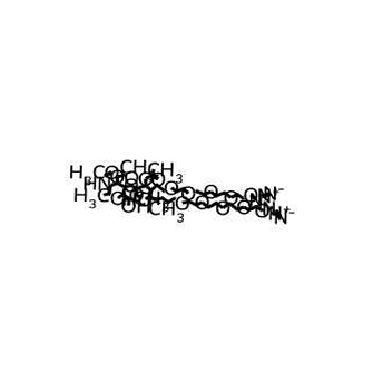 COC(OC1C(CO)OC(C)C(NC(C)=O)C1OC(C)=O)C(OC(C)=O)C(CCOCCOCCOCCOCCON=[N+]=[N-])C(O)C(C)CCCOCCOCCOCCOCCON=[N+]=[N-]